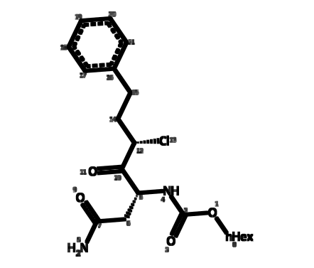 CCCCCCOC(=O)N[C@H](CC(N)=O)C(=O)[C@@H](Cl)CCc1ccccc1